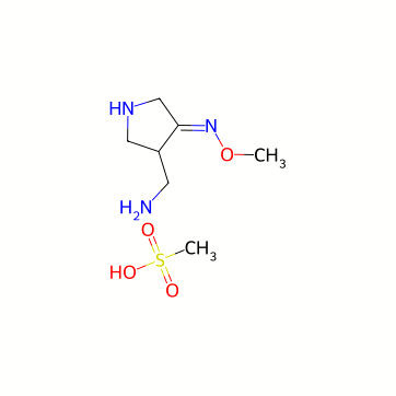 CO/N=C1/CNCC1CN.CS(=O)(=O)O